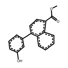 COC(=O)c1ccc(-c2cccc(O)c2)c2ccccc12